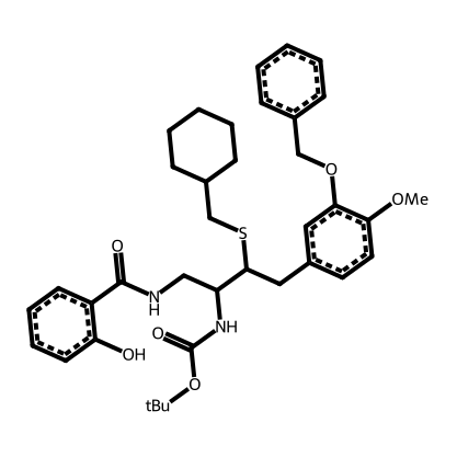 COc1ccc(CC(SCC2CCCCC2)C(CNC(=O)c2ccccc2O)NC(=O)OC(C)(C)C)cc1OCc1ccccc1